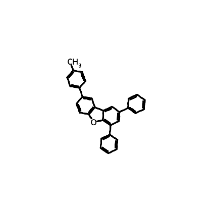 Cc1ccc(-c2ccc3oc4c(-c5ccccc5)cc(-c5ccccc5)cc4c3c2)cc1